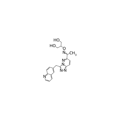 CC(=NOC(CO)CO)c1ccc2nnc(Cc3ccc4ncccc4c3)n2n1